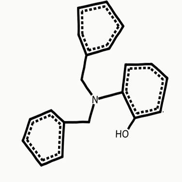 Oc1[c]cccc1N(Cc1ccccc1)Cc1ccccc1